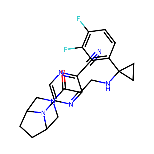 N#Cc1cnc(N2C3CCC2CN(C(=O)CCNC2(c4ccc(F)c(F)c4)CC2)C3)cn1